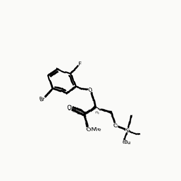 COC(=O)[C@H](CO[Si](C)(C)C(C)(C)C)Oc1cc(Br)ccc1F